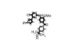 COc1cc(C(=O)N2CCC(C(C)(C)O)CC2)ccc1Nc1ncc(Cl)c(-c2ccn(C(C)C)n2)n1